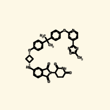 Cc1nc(-c2ccnc(Oc3ccc(C(C)(C)c4ccc(O[C@H]5C[C@@H](Nc6ccc7c(c6)C(=O)N(C6CCC(=O)NC6=O)C7=O)C5)cc4)cc3)c2)no1